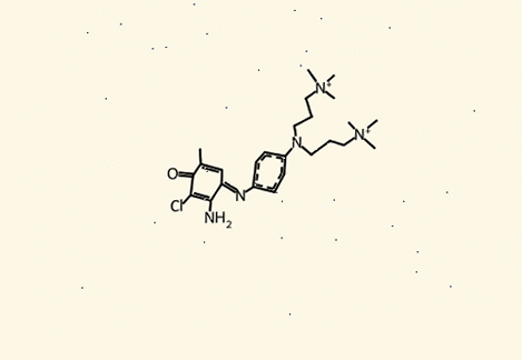 CC1=C/C(=N\c2ccc(N(CCC[N+](C)(C)C)CCC[N+](C)(C)C)cc2)C(N)=C(Cl)C1=O